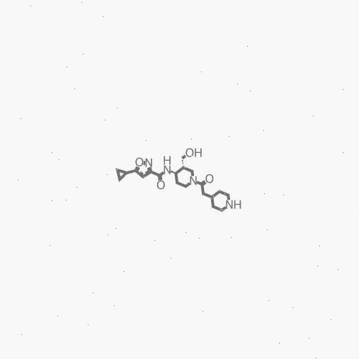 O=C(N[C@@H]1CCN(C(=O)CC2CCNCC2)C[C@H]1CO)c1cc(C2CC2)on1